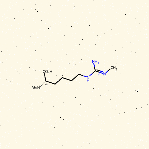 C/N=C(\N)NCCCC[C@H](NC)C(=O)O